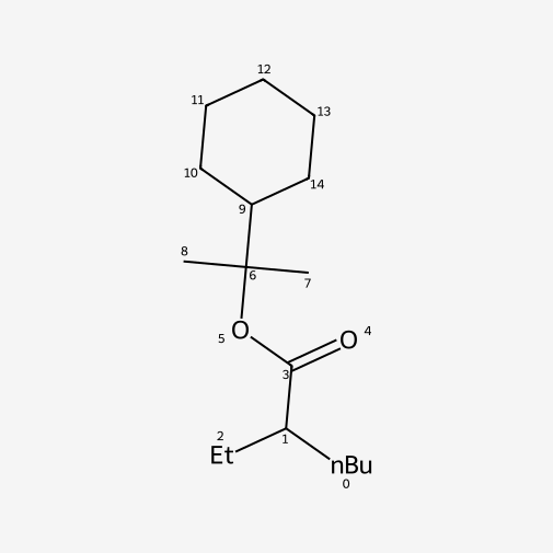 CCCCC(CC)C(=O)OC(C)(C)C1CCCCC1